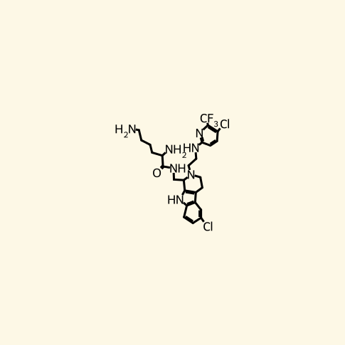 NCCCCC(N)C(=O)NCC1c2[nH]c3ccc(Cl)cc3c2CCN1CCNc1ccc(Cl)c(C(F)(F)F)n1